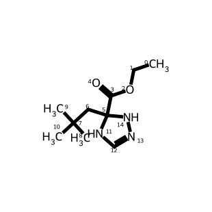 CCOC(=O)C1(CC(C)(C)C)NC=NN1